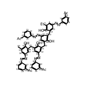 CCc1cc(N=Nc2cccc(C(C)=O)c2)cc(Cc2cc(N=Nc3cccc(C(C)=O)c3)cc(Cc3cc(N=Nc4cccc(C(C)=O)c4)cc(Cc4cc(N=Nc5cccc(C(C)=O)c5)cc(C)c4O)c3O)c2O)c1O